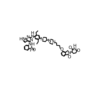 CCc1cc(N2CCC(N3CCN(CCCCOc4cccc5c4CN(C4CCC(=O)NC4=O)C5=O)CC3)CC2)c(CC)cc1Nc1nc(Nc2ccccc2P(C)(C)=O)c2cc[nH]c2n1